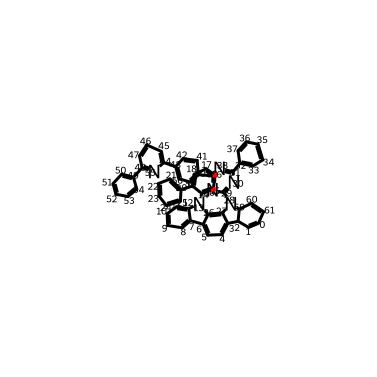 C1=CC2c3ccc4c5ccccc5n(-c5ccccc5-c5ccccc5)c4c3N(c3nc(-c4ccccc4)nc(-c4ccc(-c5cccc(-c6ccccc6)n5)cc4)n3)C2C=C1